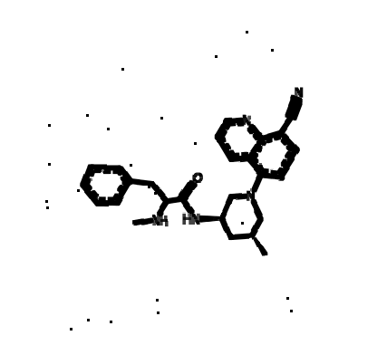 CNC(Cc1ccccc1)C(=O)N[C@@H]1C[C@H](C)CN(c2ccc(C#N)c3ncccc23)C1